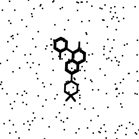 Cc1cnccc1-c1c2ccc(C3CCC(C)(C)CC3)cc2cc[n+]1C